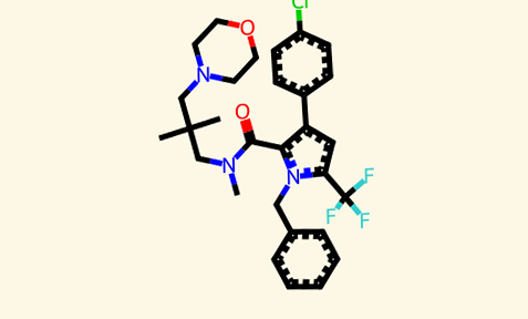 CN(CC(C)(C)CN1CCOCC1)C(=O)c1c(-c2ccc(Cl)cc2)cc(C(F)(F)F)n1Cc1ccccc1